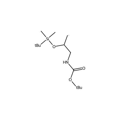 [CH2]C(CNC(=O)OC(C)(C)C)O[Si](C)(C)C(C)(C)C